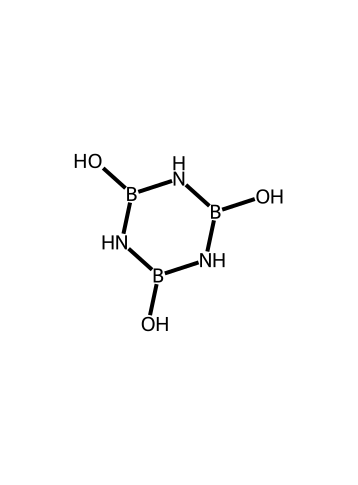 OB1NB(O)NB(O)N1